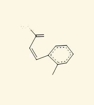 CNC(=O)/C=C\c1ccccc1O